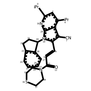 CC(C)c1cc(C(C)C)c2c(C#N)c(C=CC(=O)N3CCSCC3)n(C3CCc4ccccc43)c2n1